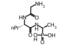 CCC[C@H](NC(=O)CN)C(=O)N[C@@H](C)P(=O)(O)O